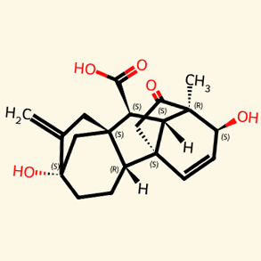 C=C1C[C@]23C[C@@]1(O)CC[C@H]2[C@@]12C=C[C@H](O)[C@](C)(C(=O)C1)[C@H]2[C@@H]3C(=O)O